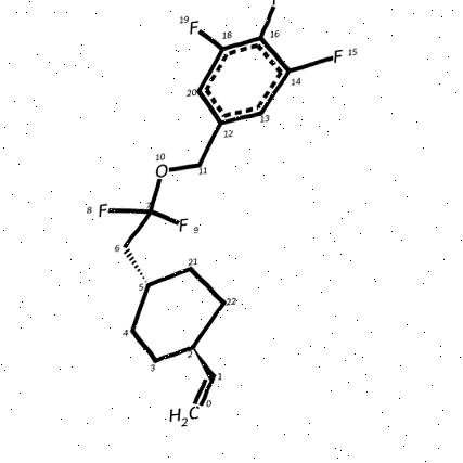 C=C[C@H]1CC[C@H](CC(F)(F)OCc2cc(F)c(F)c(F)c2)CC1